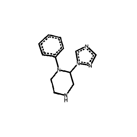 c1ccc(N2CCNCC2n2cncn2)cc1